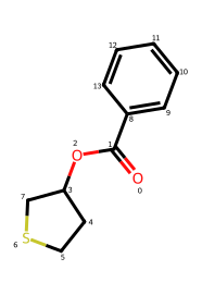 O=C(OC1CCSC1)c1ccccc1